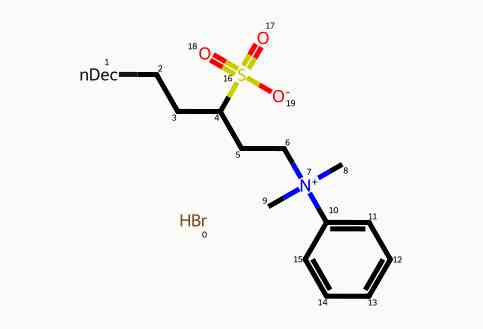 Br.CCCCCCCCCCCCC(CC[N+](C)(C)c1ccccc1)S(=O)(=O)[O-]